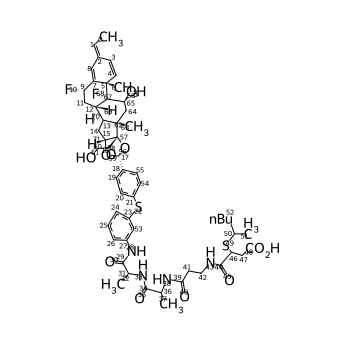 C/C=C1\C=C[C@@]2(C)C(=C1)[C@@H](F)C[C@H]1[C@@H]3C[C@H]4O[C@@H](c5ccc(Sc6cccc(NC(=O)[C@H](C)NC(=O)[C@H](C)NC(=O)CCNC(=O)C(CC(=O)O)SC(C)CCCC)c6)cc5)O[C@@]4(C(=O)CO)[C@@]3(C)C[C@H](O)[C@@]12F